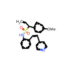 C=CC(c1ccc(OC)cc1)S(=O)(=O)Nc1ccccc1C=Cc1ccncc1